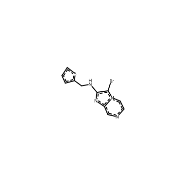 Brc1c(NCc2cccs2)nc2cnccn12